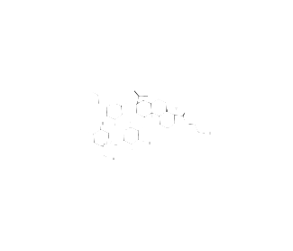 C=C1C[C@@]23CC[C@H]4[C@@](C)(CCC[C@@]4(C)C(=O)OCCO)[C@@H]2CC[C@]1(O[C@@H]1O[C@H](CCO)[C@@H](O)[C@H](O[C@@H]2O[C@H](CO)C[C@H](O)[C@H]2O)[C@H]1O[C@@H]1O[C@H](CO)[C@@H](O)[C@H](O)[C@H]1O)C3